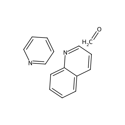 C=O.c1ccc2ncccc2c1.c1ccncc1